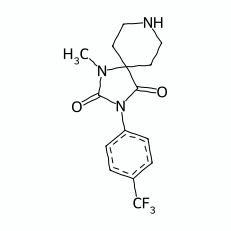 CN1C(=O)N(c2ccc(C(F)(F)F)cc2)C(=O)C12CCNCC2